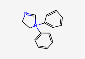 C1=NCC[N+]1(c1ccccc1)c1ccccc1